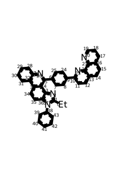 CCc1nc2c3c(-c4ccc(-c5ccc6ccc7cccnc7c6n5)cc4)nc4ccccc4c3ccc2n1-c1ccccc1